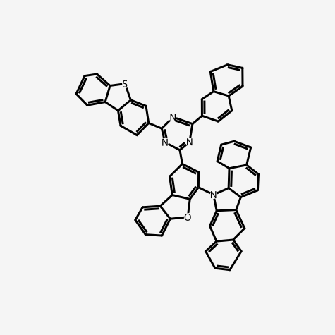 c1ccc2cc(-c3nc(-c4ccc5c(c4)sc4ccccc45)nc(-c4cc(-n5c6cc7ccccc7cc6c6ccc7ccccc7c65)c5oc6ccccc6c5c4)n3)ccc2c1